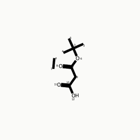 CC.CC(C)(C)OC(=O)CC(=O)O